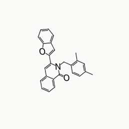 Cc1ccc(Cn2c(-c3cc4ccccc4o3)cc3ccccc3c2=O)c(C)c1